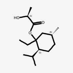 CCC1(OC(=O)[C@H](C)O)C[C@H](C)CC[C@H]1C(C)C